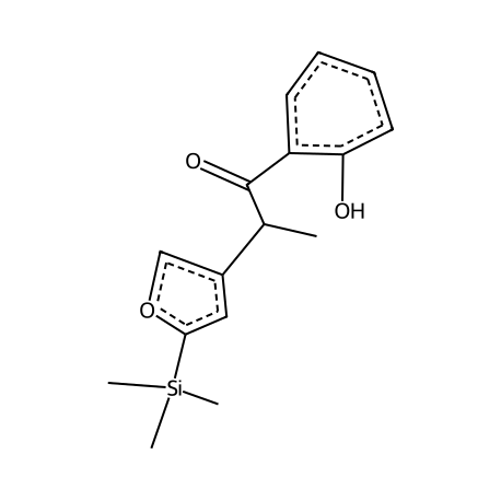 CC(C(=O)c1ccccc1O)c1coc([Si](C)(C)C)c1